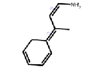 CC(/C=C\N)=C1\C=CC=CC1